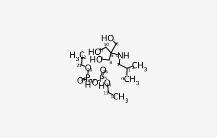 CC(C)CNC(CO)(CO)CO.CCO[PH](=O)O[PH](=O)OCC